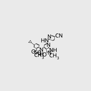 Cn1[nH]c2nc(Nc3ccc(C#N)cn3)cc(Nc3ccc(C4CC4)cc3S(C)(=O)=O)c2c1=O